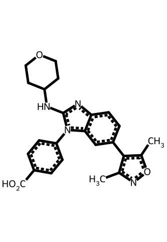 Cc1noc(C)c1-c1ccc2nc(NC3CCOCC3)n(-c3ccc(C(=O)O)cc3)c2c1